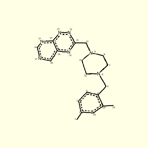 Cc1ccc(CN2CCN(Cc3nnc4ncncc4n3)CC2)c(C)c1